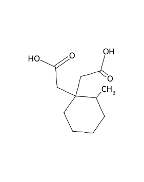 CC1CCCCC1(CC(=O)O)CC(=O)O